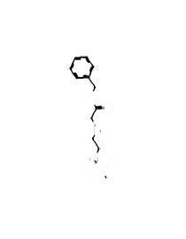 CS(=O)(=O)OCCNCC(=O)OCc1ccccc1